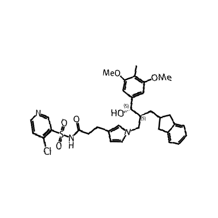 COc1cc([C@@H](O)[C@@H](CC2Cc3ccccc3C2)Cn2ccc(CCC(=O)NS(=O)(=O)c3cnccc3Cl)c2)cc(OC)c1C